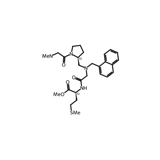 CNCC(=O)N1CCC[C@H]1CN(CC(=O)N[C@@H](CCSC)C(=O)OC)Cc1cccc2ccccc12